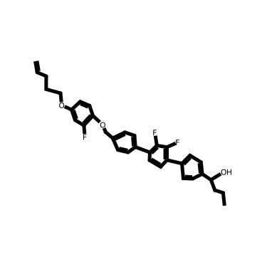 C=CCCCOc1ccc(OCc2ccc(-c3ccc(-c4ccc(C(O)CCC)cc4)c(F)c3F)cc2)c(F)c1